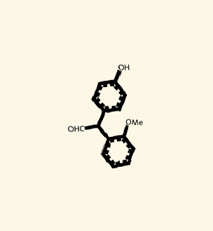 COc1ccccc1C(C=O)c1ccc(O)cc1